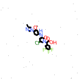 COc1cc(Nc2cc(Cl)cn(C(C(=O)O)c3cc(F)c(F)c(F)c3)c2=O)ccc1-n1cnc(C)c1